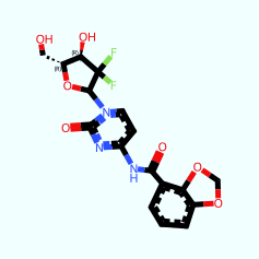 O=C(Nc1ccn(C2O[C@H](CO)[C@@H](O)C2(F)F)c(=O)n1)c1cccc2c1OCO2